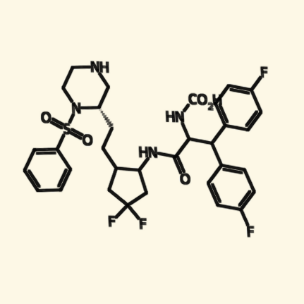 O=C(O)NC(C(=O)NC1CC(F)(F)CC1CC[C@H]1CNCCN1S(=O)(=O)c1ccccc1)C(c1ccc(F)cc1)c1ccc(F)cc1